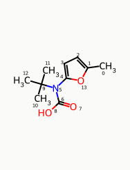 Cc1ccc(N(C(=O)O)C(C)(C)C)o1